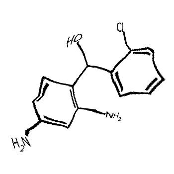 Nc1ccc(C(O)c2ccccc2Cl)c(N)c1